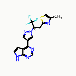 Cc1csc(C[C@@H](n2cc(-c3ncnc4[nH]ccc34)cn2)C(F)(F)F)n1